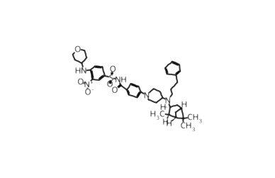 C[C@@H]1[C@@H](N(CCCc2ccccc2)C2CCN(c3ccc(C(=O)NS(=O)(=O)c4ccc(NC5CCOCC5)c([N+](=O)[O-])c4)cc3)CC2)C[C@H]2C[C@@H]1C2(C)C